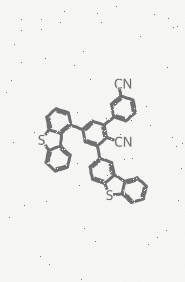 N#Cc1cccc(-c2cc(-c3cccc4sc5ccccc5c34)cc(-c3ccc4sc5ccccc5c4c3)c2C#N)c1